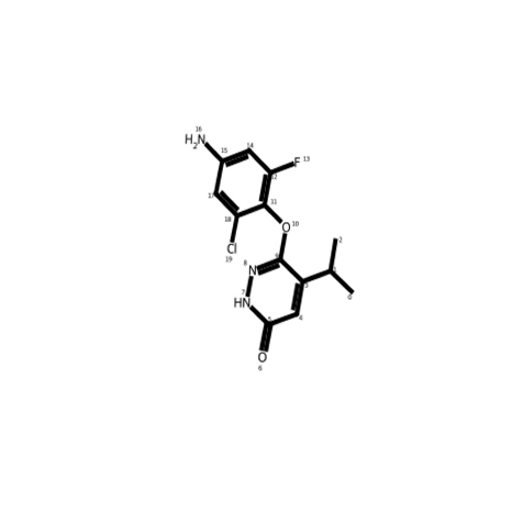 CC(C)c1cc(=O)[nH]nc1Oc1c(F)cc(N)cc1Cl